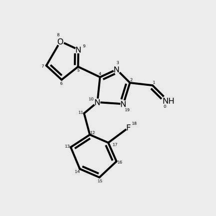 N=Cc1nc(-c2ccon2)n(Cc2ccccc2F)n1